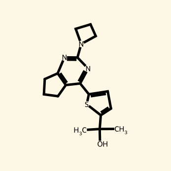 CC(C)(O)c1ccc(-c2nc(N3CCC3)nc3c2CCC3)s1